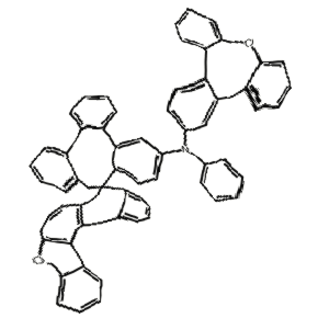 c1ccc(N(c2ccc3c(c2)-c2ccccc2Oc2ccccc2-3)c2ccc3c(c2)-c2ccccc2-c2ccccc2C32c3ccccc3-c3c2ccc2oc4ccccc4c32)cc1